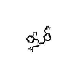 CC(C)Cc1cccc(CN(CCN(C)C)Cc2ccccc2Cl)c1